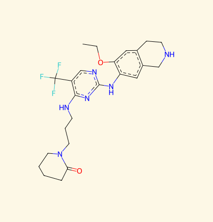 CCOc1cc2c(cc1Nc1ncc(C(F)(F)F)c(NCCCN3CCCCC3=O)n1)CNCC2